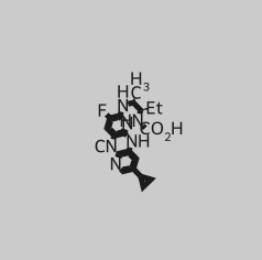 CC[C@H](NC(=O)O)[C@@H](C)Nc1nc(Nc2cncc(C3CC3)c2)c(C#N)cc1F